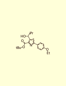 CCOc1ccc(-c2nc(C(=O)OC(C)(C)C)c(C(O)C(C)C)s2)cc1